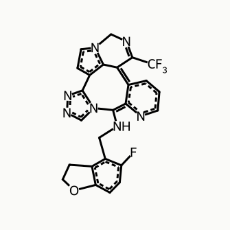 Fc1ccc2c(c1CNC1=c3ncccc3=C3C(C(F)(F)F)=NCn4ccc(c43)-c3nncn31)CCO2